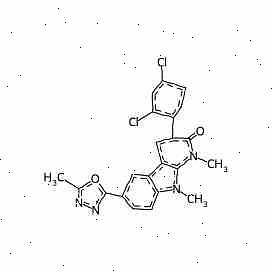 Cc1nnc(-c2ccc3c(c2)c2cc(-c4ccc(Cl)cc4Cl)c(=O)n(C)c2n3C)o1